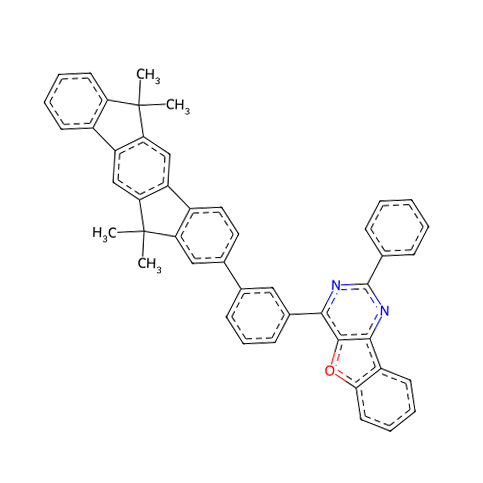 CC1(C)c2ccccc2-c2cc3c(cc21)-c1ccc(-c2cccc(-c4nc(-c5ccccc5)nc5c4oc4ccccc45)c2)cc1C3(C)C